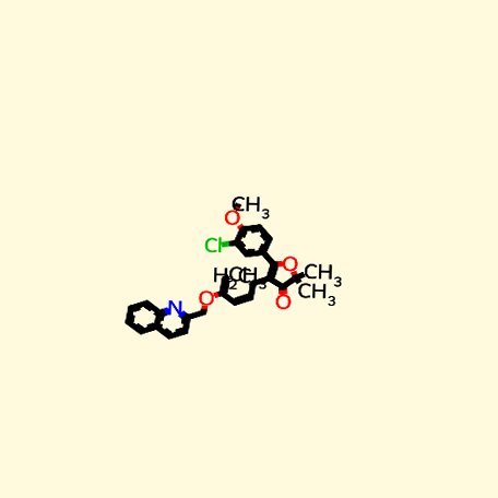 C=C(/C=C\C(=C/C)OCc1ccc2ccccc2n1)C1=C(c2ccc(OC)c(Cl)c2)OC(C)(C)C1=O